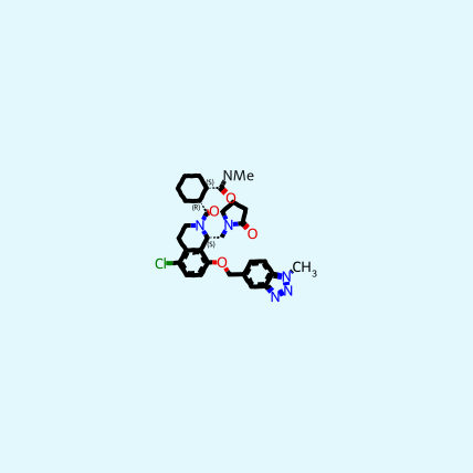 CNC(=O)[C@H]1CCCC[C@H]1C(=O)N1CCc2c(Cl)ccc(OCc3ccc4c(c3)nnn4C)c2[C@H]1CN1CCCC1=O